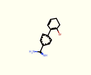 N=C(N)c1ccc(C2=C(Br)[CH]CC=C2)cc1